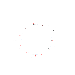 CC[C@@H]1NC(=O)N(C)C(=O)[C@H](C(C)C)N(C)C(=O)[C@H](CC(C)C)N(C)C(=O)[C@H](CC(C)C)N(C)C(=O)[C@H](C)NC(=O)C(C)NC(=O)[C@@H](CCC(C)C)N(C)C(=O)[C@@H](C(C)C)NC(=O)[C@H](CC(C)(C)O)N(C)C(=O)[C@@H](CCN)N(C)C1=O